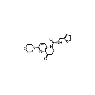 O=C1CCN(C(=O)NCc2cccs2)c2ccc(N3CCOCC3)nc21